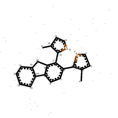 Cc1ccsc1-c1ccc2c(c1-c1sccc1C)[CH]c1ccccc1-2